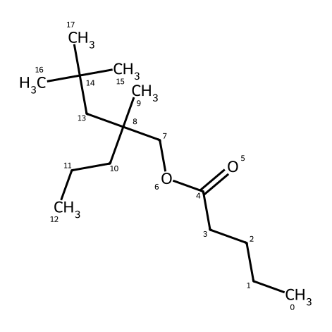 CCCCC(=O)OCC(C)(CCC)CC(C)(C)C